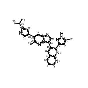 Cc1cc(-c2nc3ncccc3cc2-c2cnc3cc(-c4cnn(C(C)C)c4)c(C)nn23)n[nH]1